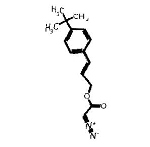 CC(C)(C)c1ccc(/C=C/COC(=O)C=[N+]=[N-])cc1